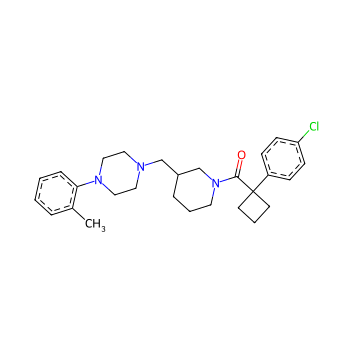 Cc1ccccc1N1CCN(CC2CCCN(C(=O)C3(c4ccc(Cl)cc4)CCC3)C2)CC1